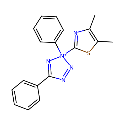 Cc1nc([N+]2(c3ccccc3)N=NC(c3ccccc3)=N2)sc1C